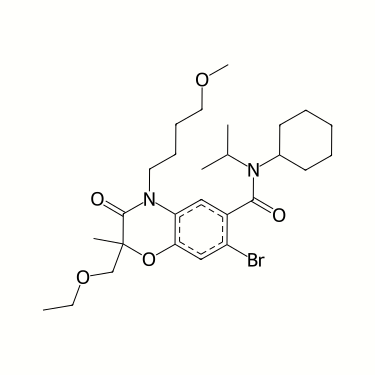 CCOCC1(C)Oc2cc(Br)c(C(=O)N(C(C)C)C3CCCCC3)cc2N(CCCCOC)C1=O